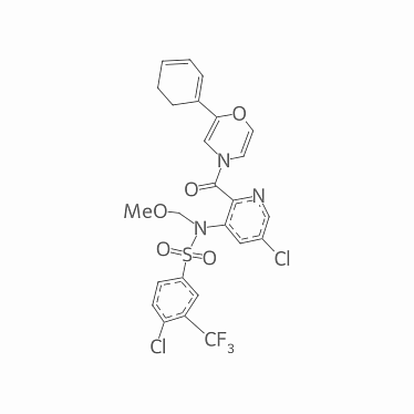 COCN(c1cc(Cl)cnc1C(=O)N1C=COC(C2=CC=CCC2)=C1)S(=O)(=O)c1ccc(Cl)c(C(F)(F)F)c1